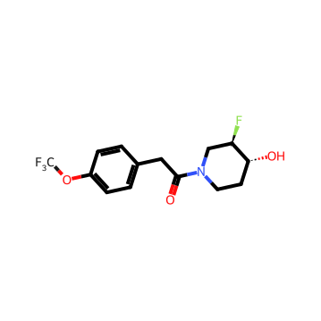 O=C(Cc1ccc(OC(F)(F)F)cc1)N1CC[C@@H](O)[C@H](F)C1